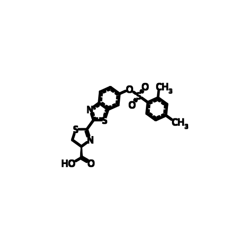 Cc1ccc(S(=O)(=O)Oc2ccc3nc(C4=N[C@@H](C(=O)O)CS4)sc3c2)c(C)c1